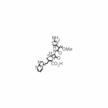 CO/N=C(\C(=O)N[C@@H]1C(=O)N2C(C(=O)O)=C(CN3CN=C4N=CC=CN43)CS[C@@H]12)c1csc(N)n1